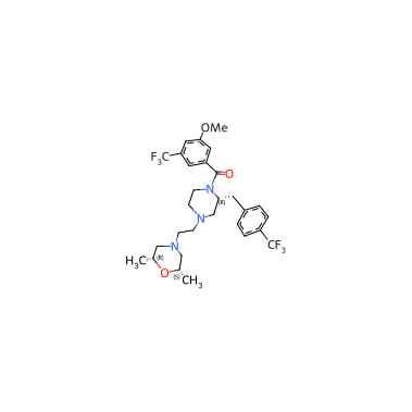 COc1cc(C(=O)N2CCN(CCN3C[C@@H](C)O[C@@H](C)C3)C[C@H]2Cc2ccc(C(F)(F)F)cc2)cc(C(F)(F)F)c1